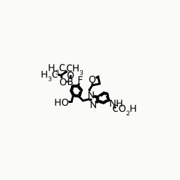 CC1OB(c2cc(CO)c(Cc3nc4cc(NC(=O)O)ccc4n3CC3CCO3)cc2F)OC1(C)C